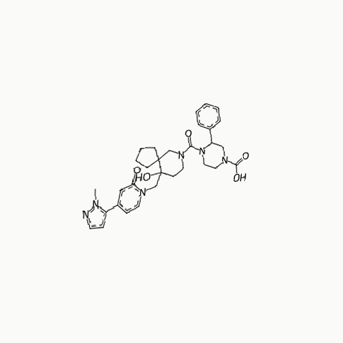 Cn1nccc1-c1ccn(CC2(O)CCN(C(=O)N3CCN(C(=O)O)CC3c3ccccc3)CC23CCCC3)c(=O)c1